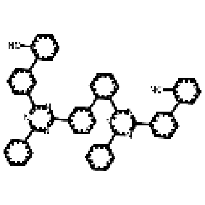 N#Cc1ccccc1-c1cccc(-c2nc(-c3ccccc3)nc(-c3cccc(-c4ccccc4-c4nc(-c5ccccc5)nc(-c5cccc(-c6ccccc6C#N)c5)n4)c3)n2)c1